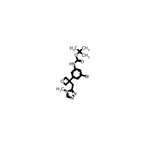 Cn1cnnc1CC1(c2cc(Br)cc(NC(=O)OC(C)(C)C)c2)COC1